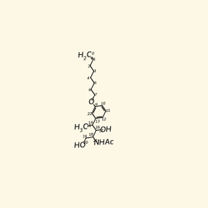 C=CCCCCCCOc1cccc(C(C)C(O)C(CO)NC(C)=O)c1